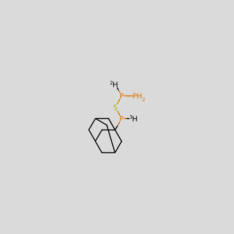 [2H]P(P)SP([3H])C12CC3CC(CC(C3)C1)C2